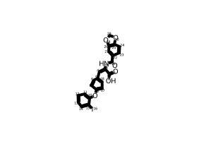 O=C(O)C(=Cc1ccc(Oc2ccccc2I)cc1)NC(=O)c1ccc2c(c1)OCO2